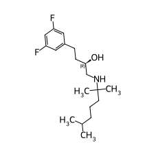 CC(C)CCCC(C)(C)NC[C@H](O)CCc1cc(F)cc(F)c1